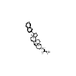 CNC(=O)O[C@@H]1CCC2=CC3=CC[C@@]4(C)C(CC[C@@H]4c4ccc5ccncc5c4)[C@@]34CC[C@]2(C1)O4